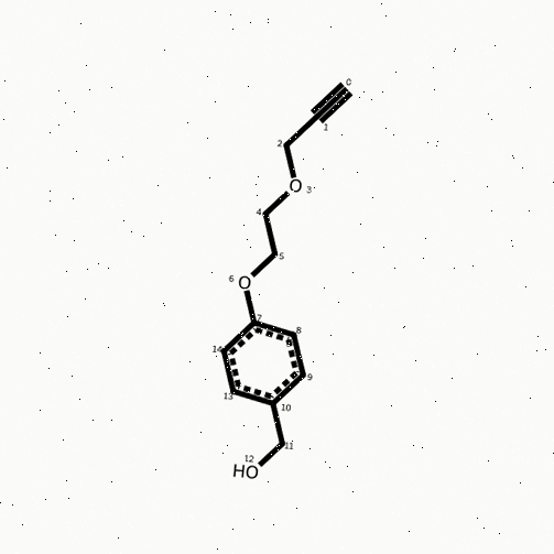 C#CCOCCOc1ccc(CO)cc1